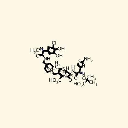 C/N=C(\C(=O)NCC12CC[N+](CC3=C(C(=O)O)N4C(=O)[C@@H](NC(=O)/C(=N\OC(C)(C)C(=O)O)c5csc(N)n5)[C@H]4S[C@H]3C)(CC1)CC2)c1cc(O)c(O)c(Cl)c1